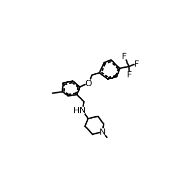 Cc1ccc(OCc2ccc(C(F)(F)F)cc2)c(CNC2CCN(C)CC2)c1